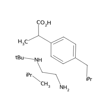 CC(C)(C)NCCN.CC(C)C.CC(C)Cc1ccc(C(C)C(=O)O)cc1